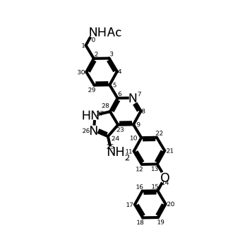 CC(=O)NCc1ccc(-c2ncc(-c3ccc(Oc4ccccc4)cc3)c3c(N)n[nH]c23)cc1